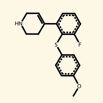 COc1ccc(Sc2c(F)cccc2C2=CCNCC2)cc1